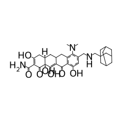 CN(C)c1c(CNCC23CC4CC(CC(C4)C2)C3)cc(O)c2c1CC1C[C@H]3CC(O)=C(C(N)=O)C(=O)[C@@]3(O)C(O)=C1C2=O